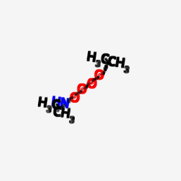 CC(C)C#CCOCCOCCOCCOCCNCC(C)C